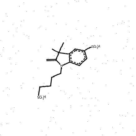 C=C1N(CCCCS(=O)(=O)O)c2ccc(S(=O)(=O)O)cc2C1(C)C